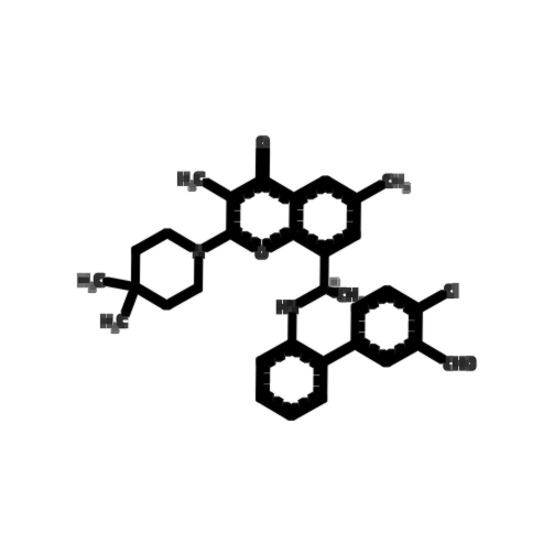 Cc1cc([C@@H](C)Nc2ccccc2-c2ccc(Cl)c(C=O)c2)c2oc(N3CCC(C)(C)CC3)c(C)c(=O)c2c1